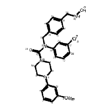 COc1cccc(N2CCN(C(=O)N(Cc3ccc(CNO)cc3)c3cccc(C(F)(F)F)c3)CC2)c1